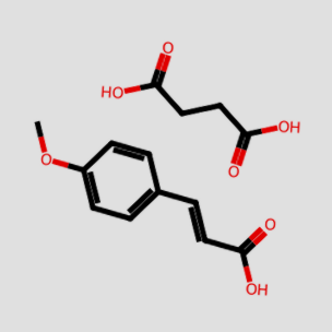 COc1ccc(C=CC(=O)O)cc1.O=C(O)CCC(=O)O